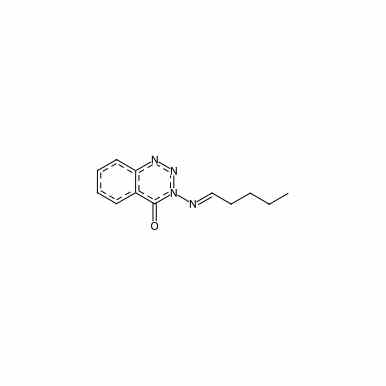 CCCCC=Nn1nnc2ccccc2c1=O